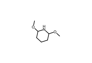 COC1CCCC(OC)N1